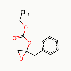 CCOC(=O)OC1(Cc2ccccc2)CO1